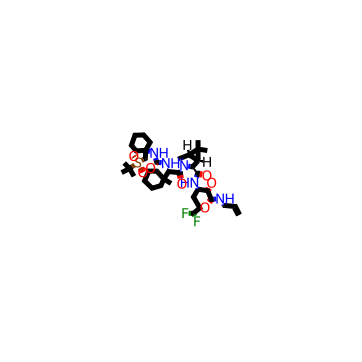 C=CCNC(=O)C(=O)C(CCC(F)F)NC(=O)[C@@H]1[C@@H]2[C@H](CN1C(=O)[C@@H](NC(=O)NC1(CS(=O)(=O)C(C)(C)C)CCCCC1)C1(C)CCCCC1)C2(C)C